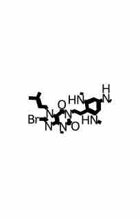 CNc1cc(NC)c(CCn2c(=O)c3c(nc(Br)n3CC=C(C)C)n(C)c2=O)c(NC)c1